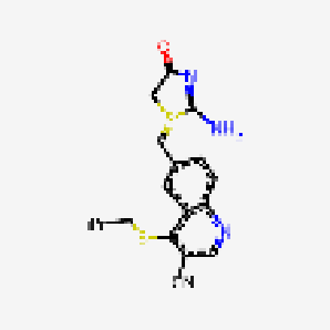 CC(C)CSc1c(C#N)cnc2ccc(/C=S3/CC(=O)N=C3N)cc12